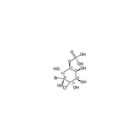 O=P(O)(O)O[C@H]1[C@@H](O)[C@@H](O)[C@@](O)(Cl)[C@](O)(Br)[C@@H]1O